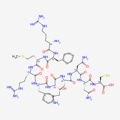 CSCC[C@H](NC(=O)[C@H](Cc1ccccc1)NC(=O)[C@@H](N)CCCNC(=N)N)C(=O)N[C@@H](CCCNC(=N)N)C(=O)N[C@@H](Cc1ccccc1)C(=O)N[C@@H](CO)C(=O)N[C@@H](CCCCN)C(=O)N[C@@H](CC(N)=O)C(=O)N[C@@H](CC(N)=O)C(=O)N[C@@H](CS)C(=O)O